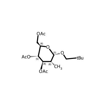 CC(=O)OC[C@H]1O[C@H](OCC(C)(C)C)[C@H](C)[C@@H](OC(C)=O)[C@@H]1OC(C)=O